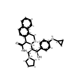 NC(=O)C1c2ccc3ccccc3c2CON1[C@H](CN1CCCC1)[C@H](O)c1ccc(OC2CC2)cc1